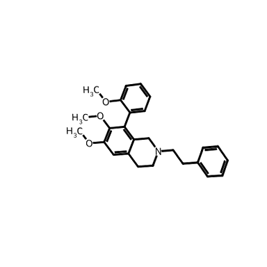 COc1ccccc1-c1c2c(cc(OC)c1OC)CCN(CCc1ccccc1)C2